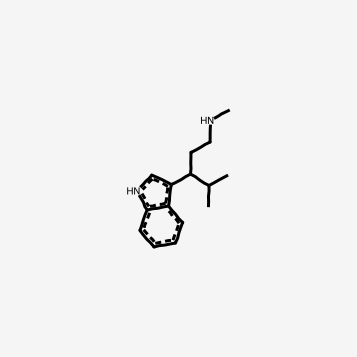 CNCCC(c1c[nH]c2ccccc12)C(C)C